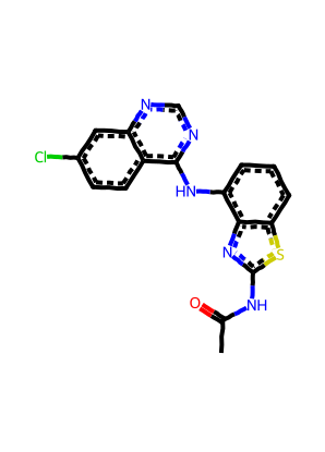 CC(=O)Nc1nc2c(Nc3ncnc4cc(Cl)ccc34)cccc2s1